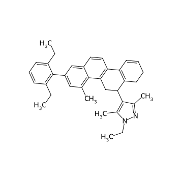 CCc1cccc(CC)c1-c1cc(C)c2c3c(ccc2c1)C1=C(CCC=C1)C(c1c(C)nn(CC)c1C)C3